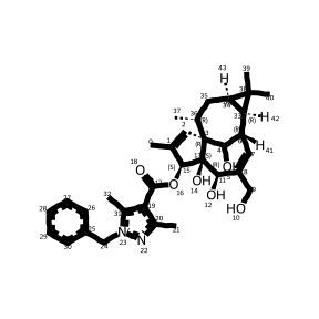 CC1=C[C@]23C(O)[C@@H](C=C(CO)[C@@H](O)[C@]2(O)[C@H]1OC(=O)c1c(C)nn(Cc2ccccc2)c1C)[C@H]1[C@@H](C[C@H]3C)C1(C)C